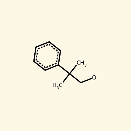 CC(C)(C[O])c1ccccc1